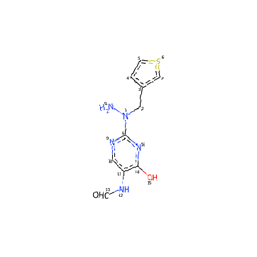 NN(Cc1ccsc1)c1ncc(NC=O)c(O)n1